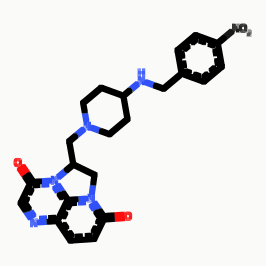 O=c1ccc2ncc(=O)n3c2n1CC3CN1CCC(NCc2ccc([N+](=O)[O-])cc2)CC1